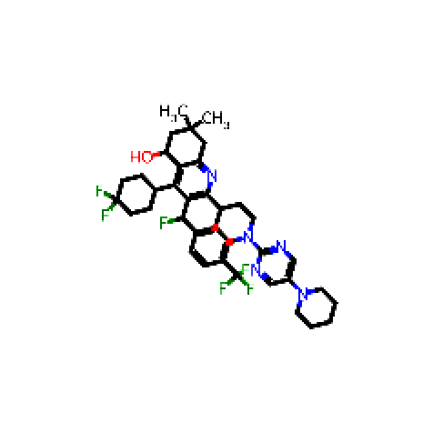 CC1(C)Cc2nc(C3CCN(c4ncc(N5CCCCC5)cn4)CC3)c(C(F)c3ccc(C(F)(F)F)cc3)c(C3CCC(F)(F)CC3)c2C(O)C1